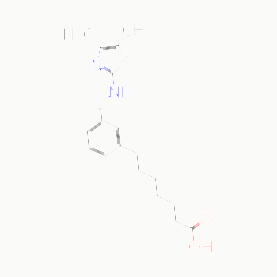 Cc1nc(NSc2cccc(CCCCCCC(=O)O)c2)sc1C